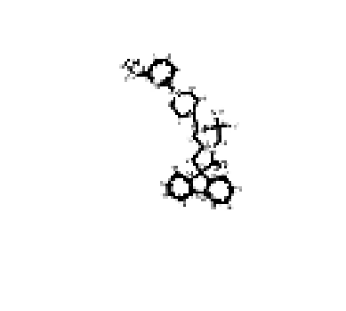 COc1cccc(N2CCN(CCCCC3(C(=O)NCC(F)(F)F)c4ccccc4-c4ccccc43)CC2)n1